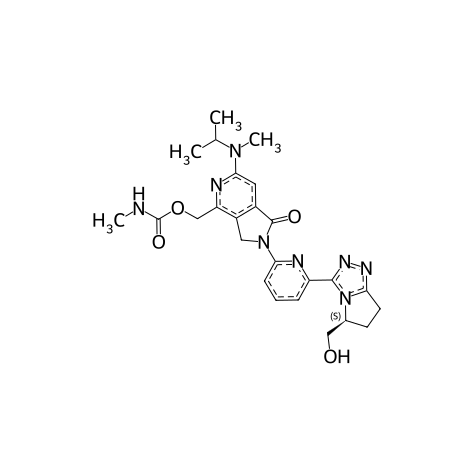 CNC(=O)OCc1nc(N(C)C(C)C)cc2c1CN(c1cccc(-c3nnc4n3[C@H](CO)CC4)n1)C2=O